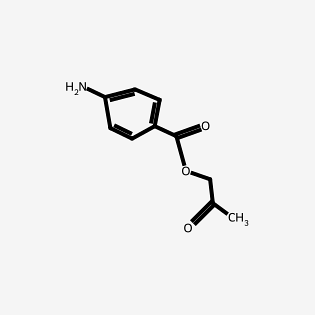 CC(=O)COC(=O)c1ccc(N)cc1